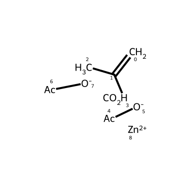 C=C(C)C(=O)O.CC(=O)[O-].CC(=O)[O-].[Zn+2]